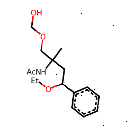 CCOC(CC(C)(COCO)NC(C)=O)c1ccccc1